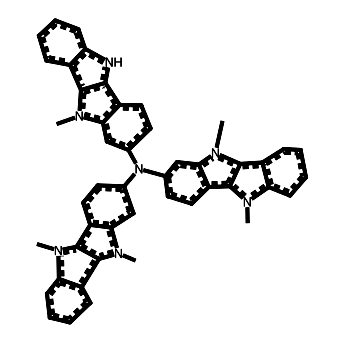 Cn1c2cc(N(c3ccc4c(c3)n(C)c3c5ccccc5n(C)c43)c3ccc4c(c3)n(C)c3c5ccccc5n(C)c43)ccc2c2[nH]c3ccccc3c21